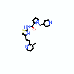 Cc1cccnc1/C=C/c1csc(NC(=O)c2cccn2Cc2ccncc2)n1